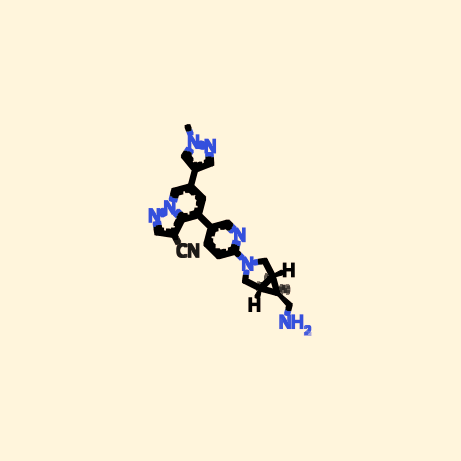 Cn1cc(-c2cc(-c3ccc(N4C[C@@H]5[C@@H](CN)[C@@H]5C4)nc3)c3c(C#N)cnn3c2)cn1